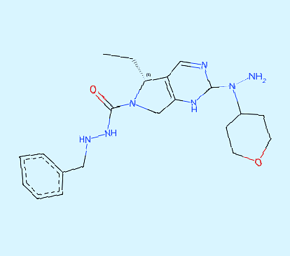 CC[C@@H]1C2=C(CN1C(=O)NNCc1ccccc1)NC(N(N)C1CCOCC1)N=C2